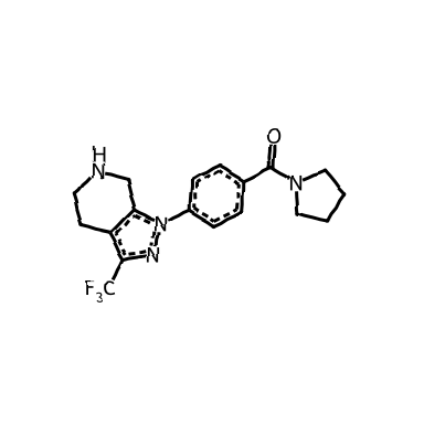 O=C(c1ccc(-n2nc(C(F)(F)F)c3c2CNCC3)cc1)N1CCCC1